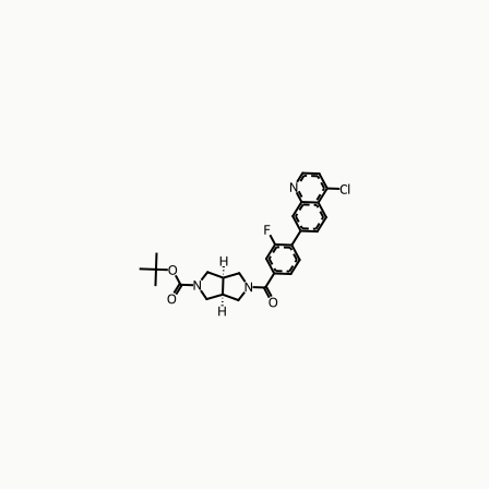 CC(C)(C)OC(=O)N1C[C@@H]2CN(C(=O)c3ccc(-c4ccc5c(Cl)ccnc5c4)c(F)c3)C[C@@H]2C1